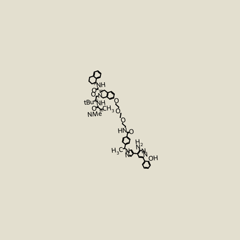 CN[C@@H](C)C(=O)N[C@H](C(=O)N1Cc2cc(OCCOCCOCCNC(=O)c3ccc(C(C)n4cc(-c5cc(-c6ccccc6O)nnc5N)cn4)cc3)ccc2C[C@H]1C(=O)N[C@@H]1CCCc2ccccc21)C(C)(C)C